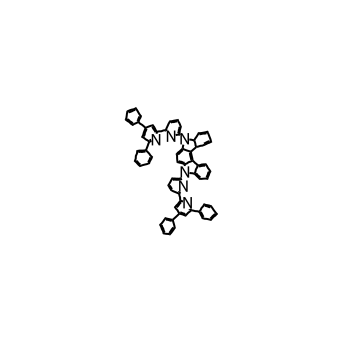 C1=CC2c3c(ccc4c3c3ccccc3n4-c3cccc(-c4cc(-c5ccccc5)cc(-c5ccccc5)n4)n3)N(c3cccc(-c4cc(-c5ccccc5)cc(-c5ccccc5)n4)n3)C2C=C1